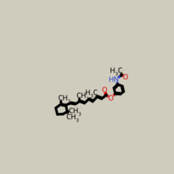 CC(=O)Nc1cccc(OC(=O)/C=C(C)/C=C/C=C(C)/C=C/C2=C(C)CCCC2(C)C)c1